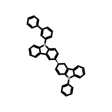 C1=C[C@@H](c2ccc3c(c2)c2ccccc2n3-c2cccc(-c3ccccc3)c2)Cc2c1n(-c1ccccc1)c1ccccc21